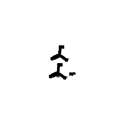 O=[PH]([O-])O.O=[PH]([O-])O.[Pt+2]